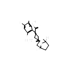 CN(C)C(=O)CCC(=O)N1[C@@H]2CC[C@H]1C[C@@H]([C@H](N)Cc1cc(F)c(F)cc1F)C2